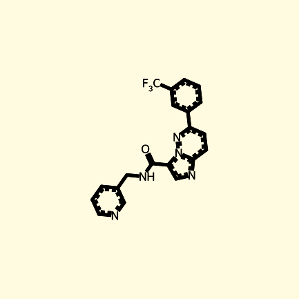 O=C(NCc1cccnc1)c1cnc2ccc(-c3cccc(C(F)(F)F)c3)nn12